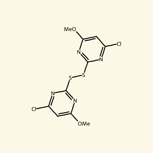 COc1cc(Cl)nc(SSc2nc(Cl)cc(OC)n2)n1